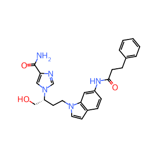 NC(=O)c1cn([C@@H](CO)CCn2ccc3ccc(NC(=O)CCc4ccccc4)cc32)cn1